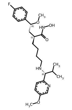 COc1ccc([C@H](NCCCC[C@@H](C[C@@H](OC)c2ccc(F)cc2)C(=O)NO)C(C)C)nc1